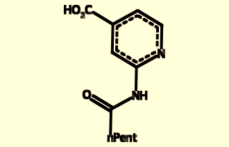 CCCCCC(=O)Nc1cc(C(=O)O)ccn1